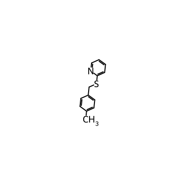 Cc1ccc(CSc2ccccn2)cc1